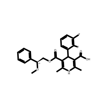 CO[C@H](COC(=O)C1=C(C)NC(C)=C(C(=O)O)C1c1cccc(F)c1F)c1ccccc1